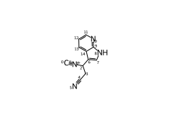 [C-]#[N+]C(CC#N)c1c[nH]c2ncccc12